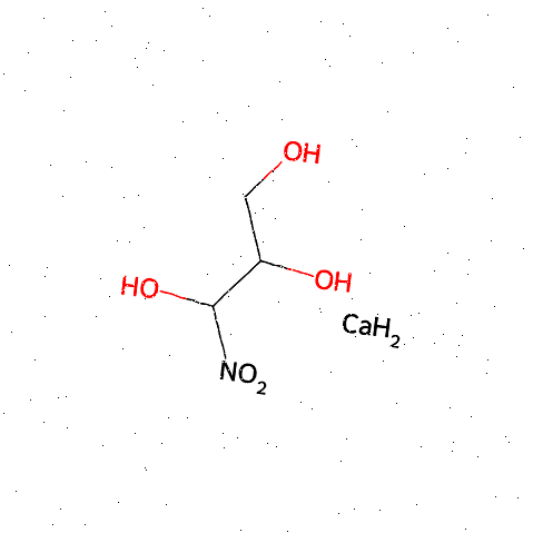 O=[N+]([O-])C(O)C(O)CO.[CaH2]